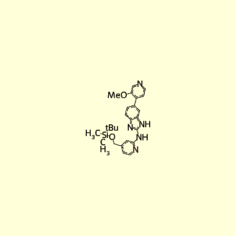 COc1cnccc1-c1ccc2nc(Nc3cc(CO[Si](C)(C)C(C)(C)C)ccn3)[nH]c2c1